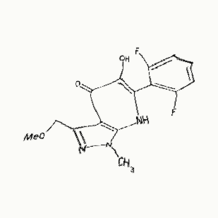 COCc1nn(C)c2[nH]c(-c3c(F)cccc3F)c(O)c(=O)c12